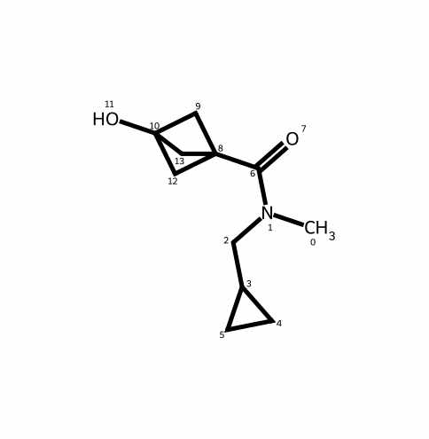 CN(CC1CC1)C(=O)C12CC(O)(C1)C2